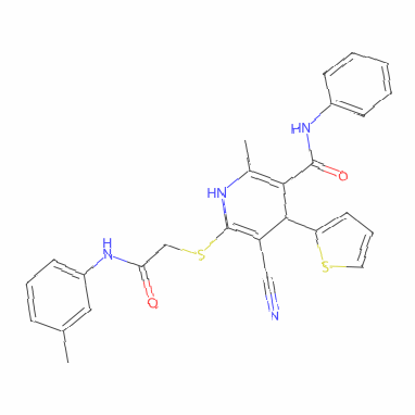 CC1=C(C(=O)Nc2ccccc2)C(c2cccs2)C(C#N)=C(SCC(=O)Nc2cccc(C)c2)N1